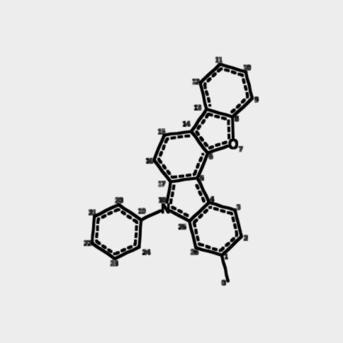 Cc1ccc2c3c4oc5ccccc5c4ccc3n(-c3ccccc3)c2c1